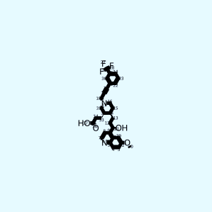 COc1ccc2nccc([C@H](O)CC[C@@H]3CCN(CC#Cc4cccc(C(F)(F)F)c4)C[C@H]3CCC(=O)O)c2c1